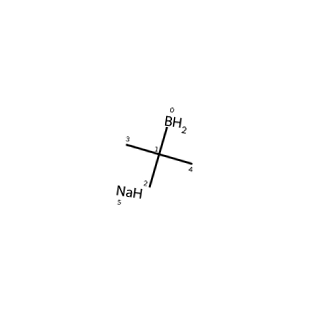 BC(C)(C)C.[NaH]